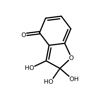 O=C1C=CC=C2OC(O)(O)C(O)=C12